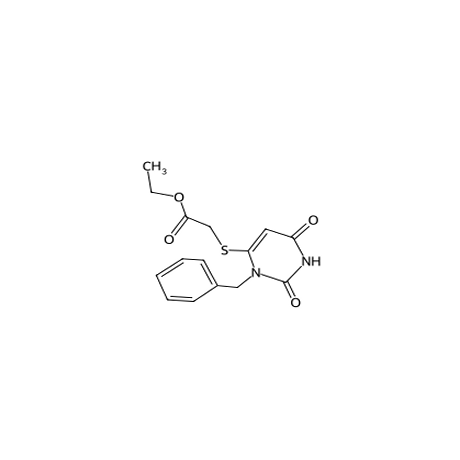 CCOC(=O)CSc1cc(=O)[nH]c(=O)n1Cc1ccccc1